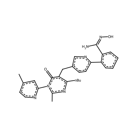 CCCCc1nc(C)n(-c2cc(C)ccn2)c(=O)c1Cc1ccc(-c2ccccc2/C(N)=N\O)nc1